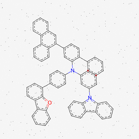 c1ccc(-c2ccc(-c3cc4ccccc4c4ccccc34)cc2N(c2ccc(-c3cccc4c3oc3ccccc34)cc2)c2cccc(-n3c4ccccc4c4ccccc43)c2)cc1